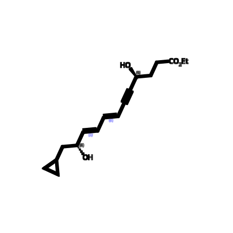 CCOC(=O)CC[C@H](O)C#C/C=C/C=C/[C@H](O)CC1CC1